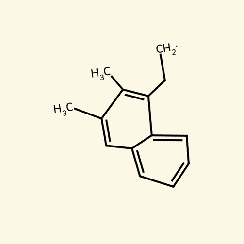 [CH2]Cc1c(C)c(C)cc2ccccc12